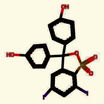 O=S1(=O)OC(c2ccc(O)cc2)(c2ccc(O)cc2)c2cc(I)cc(I)c21